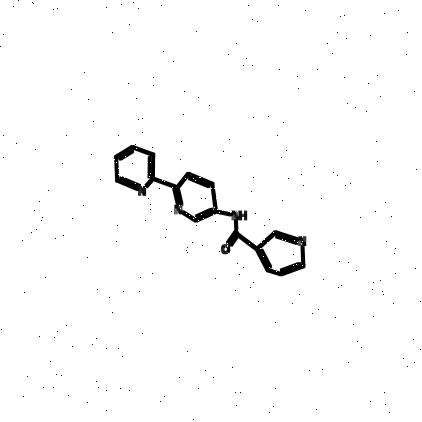 O=C(Nc1ccc(-c2ccccn2)nc1)c1cccnc1